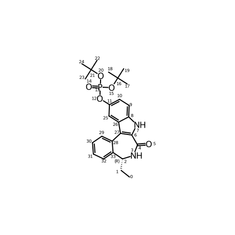 CC[C@H]1NC(=O)c2[nH]c3ccc(OP(=O)(OC(C)(C)C)OC(C)(C)C)cc3c2-c2ccccc21